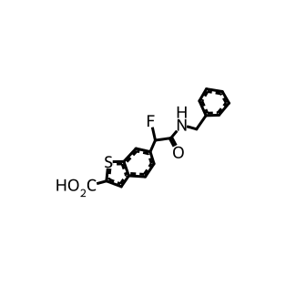 O=C(O)c1cc2ccc(C(F)C(=O)NCc3ccccc3)cc2s1